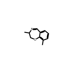 Cc1cccc2c1OCC(C)N=C2